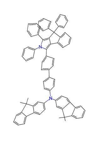 CC1(C)c2ccccc2-c2ccc(N(c3ccc(-c4ccc(-c5c6c(c(-c7ccccc7)n5-c5ccccc5)C(c5ccccc5)(c5ccccc5)c5ccccc5-6)cc4)cc3)c3ccc4c(c3)C(C)(C)c3ccccc3-4)cc21